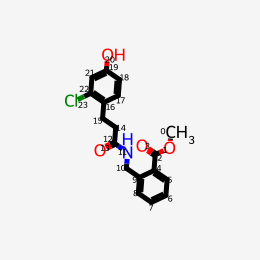 COC(=O)c1ccccc1CNC(=O)CCc1ccc(O)cc1Cl